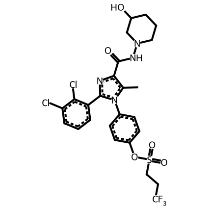 Cc1c(C(=O)NN2CCCC(O)C2)nc(-c2cccc(Cl)c2Cl)n1-c1ccc(OS(=O)(=O)CCC(F)(F)F)cc1